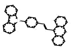 C(=Cc1c2ccccc2cc2ccccc12)c1ccc(-n2c3ccccc3c3ccccc32)cc1